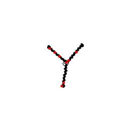 CC(C)(C)CCCCCCCCCCCCCC[Si]([O])(CCCCCCCCCCCCCCC(C)(C)C)CCCCCCCCCCCCCCC(C)(C)C